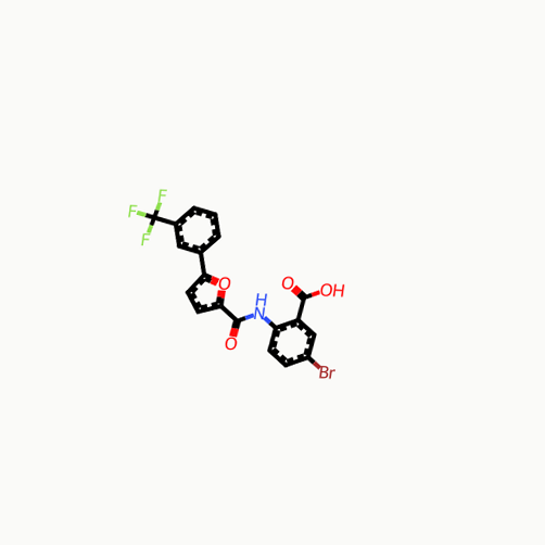 O=C(Nc1ccc(Br)cc1C(=O)O)c1ccc(-c2cccc(C(F)(F)F)c2)o1